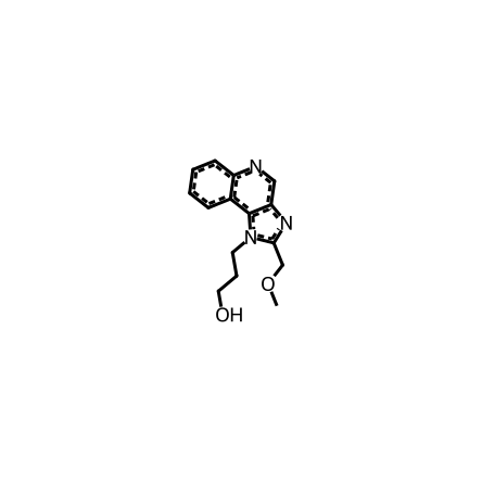 COCc1nc2cnc3ccccc3c2n1CCCO